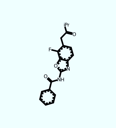 CC(C)C(=O)Cc1ccc2nc(NC(=O)c3ccccc3)oc2c1F